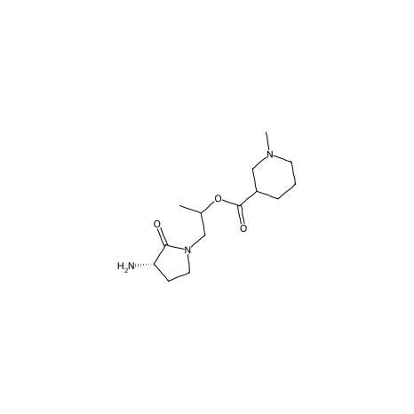 CC(CN1CC[C@H](N)C1=O)OC(=O)C1CCCN(C)C1